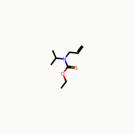 C=CCN(C(=S)OCC)C(C)C